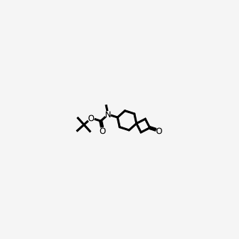 CN(C(=O)OC(C)(C)C)C1CCC2(CC1)CC(=O)C2